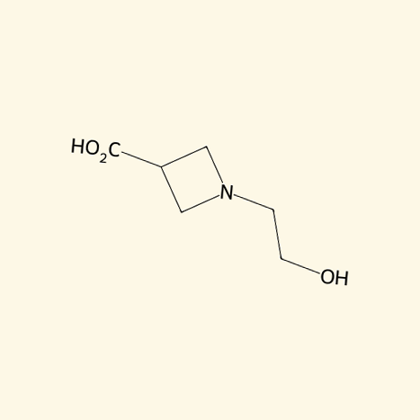 O=C(O)C1CN(CCO)C1